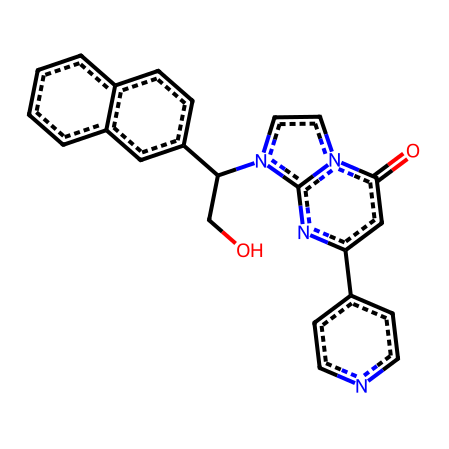 O=c1cc(-c2ccncc2)nc2n(C(CO)c3ccc4ccccc4c3)ccn12